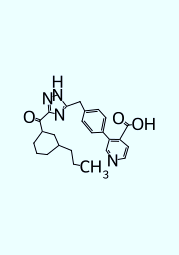 CCCC1CCCC(C(=O)c2n[nH]c(Cc3ccc(-c4cnccc4C(=O)O)cc3)n2)C1